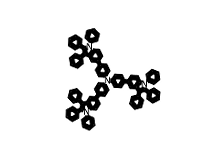 c1ccc(-c2c(-c3ccccc3)n(-c3ccccc3)c3ccc(-c4ccc(N(c5ccc(-c6ccc7c(c6)c(-c6ccccc6)c(-c6ccccc6)n7-c6ccccc6)cc5)c5ccc(-c6ccc7c(c6)c(-c6ccccc6)c(-c6ccccc6)n7-c6ccccc6)cc5)cc4)cc23)cc1